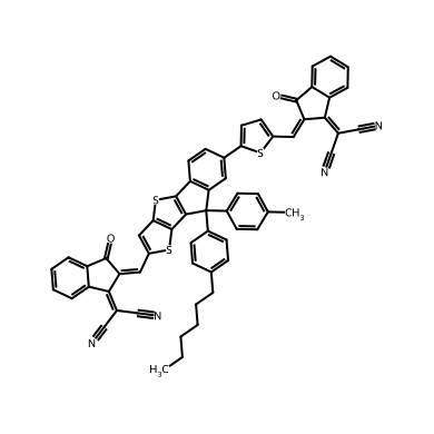 CCCCCCc1ccc(C2(c3ccc(C)cc3)c3cc(-c4ccc(/C=C5\C(=O)c6ccccc6C5=C(C#N)C#N)s4)ccc3-c3sc4cc(/C=C5\C(=O)c6ccccc6C5=C(C#N)C#N)sc4c32)cc1